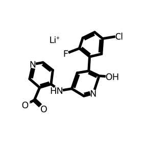 O=C([O-])c1cnccc1Nc1cnc(O)c(-c2cc(Cl)ccc2F)c1.[Li+]